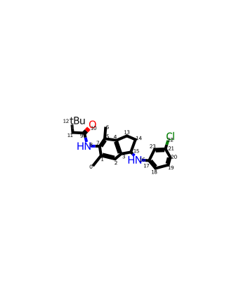 Cc1cc2c(c(C)c1NC(=O)CC(C)(C)C)CCC2Nc1cccc(Cl)c1